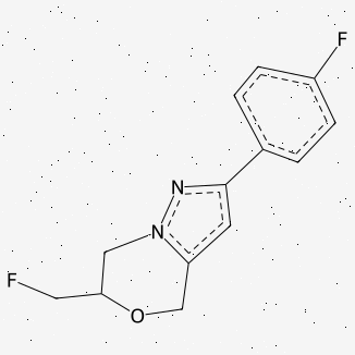 FCC1Cn2nc(-c3ccc(F)cc3)cc2CO1